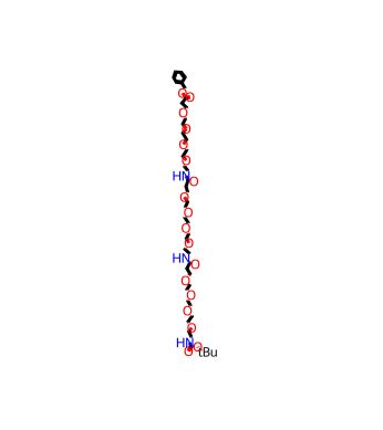 CC(C)(C)OC(=O)NCCOCCOCCOCCOCCC(=O)NCCOCCOCCOCCOCCC(=O)NCCOCCOCCOCCOCCC(=O)OCc1ccccc1